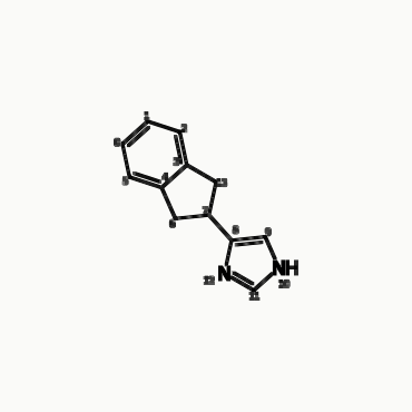 c1ccc2c(c1)CC(c1c[nH]cn1)C2